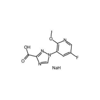 COc1ncc(F)cc1-n1cnc(C(=O)O)n1.[NaH]